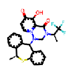 C[C@@H]1Sc2ccccc2[C@H](N2CN([C@H](C)C(F)(F)F)C(=O)c3c(O)c(=O)ccn32)c2ccccc21